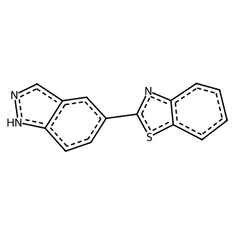 c1ccc2sc(-c3ccc4[nH]ncc4c3)nc2c1